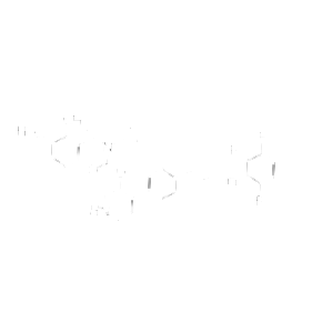 Cc1cccc(CN(C(=O)OC2CNCC=C2c2ccc(CCCOc3c(F)ccc(F)c3F)cc2)C2CC2)c1C